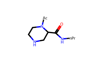 CCCNC(=O)C1CNCCN1C(C)=O